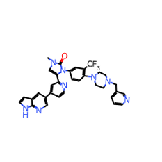 Cn1cc(-c2cc(-c3cnc4[nH]ccc4c3)ccn2)n(-c2ccc(N3CCN(Cc4cccnc4)CC3)c(C(F)(F)F)c2)c1=O